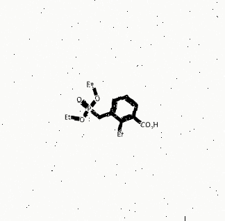 CCOP(=O)(Cc1cccc(C(=O)O)c1CC)OCC